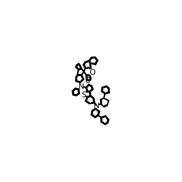 C1=CC(N(c2cccc(-c3ccccc3)c2)c2ccc3sc4c(N(c5ccccc5)c5ccc6c(c5)C5(c7ccccc7Oc7c5ccc5ccccc75)c5ccccc5-6)cccc4c3c2)=CC(c2ccccc2)C1